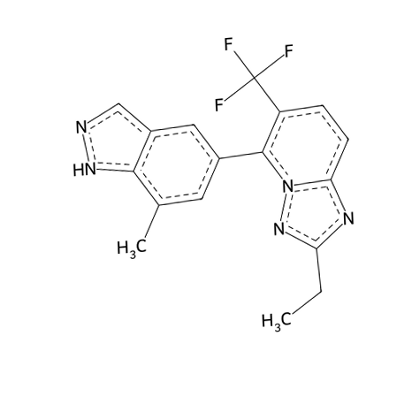 CCc1nc2ccc(C(F)(F)F)c(-c3cc(C)c4[nH]ncc4c3)n2n1